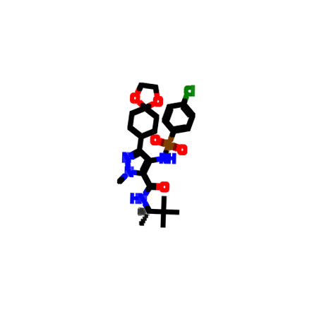 C[C@H](NC(=O)c1c(NS(=O)(=O)c2ccc(Cl)cc2)c(C2CCC3(CC2)OCCO3)nn1C)C(C)(C)C